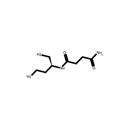 NC(=O)CCC(=O)N[C@H](CS)CCS